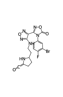 O=C=C1CCC(CCNc2nonc2-c2noc(=O)n2-c2ccc(F)c(Br)c2)N1